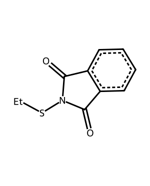 CCSN1C(=O)c2ccccc2C1=O